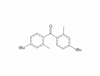 Cc1cc(C(C)(C)C)ccc1C(=O)c1ccc(C(C)(C)C)cc1C